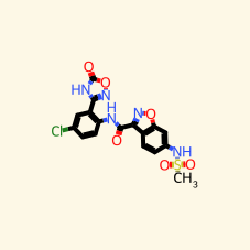 CS(=O)(=O)Nc1ccc2c(C(=O)Nc3ccc(Cl)cc3-c3noc(=O)[nH]3)noc2c1